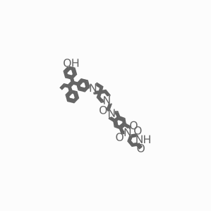 CCC(=C(c1ccc(O)cc1)c1ccc(N2CCC3(CCN(CC(=O)N4Cc5cc6c(cc5C4)C(=O)N(C4CCC(=O)NC4=O)C6=O)CC3)C2)cc1)c1ccccc1